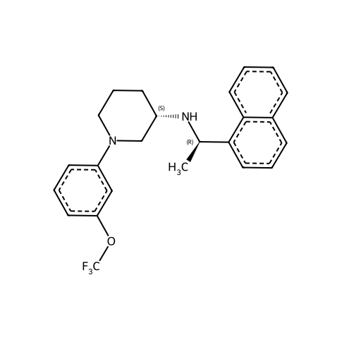 C[C@@H](N[C@H]1CCCN(c2cccc(OC(F)(F)F)c2)C1)c1cccc2ccccc12